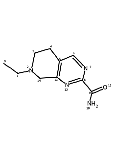 CCN1CCc2[c]nc(C(N)=O)nc2C1